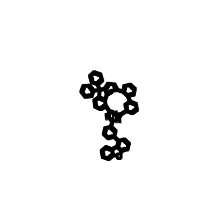 c1ccc(C2(c3ccccc3)c3ccc4cc3-c3c(cccc32)-c2nc(nc(-c3cccc(-c5cccc6oc7ccccc7c56)c3)n2)-c2cccc(c2)-c2ccccc2-4)cc1